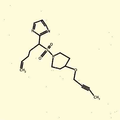 C=CCCC(c1ncccn1)S(=O)(=O)N1CCC(OCC#CC)CC1